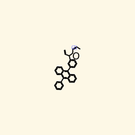 C=CC1c2cc(-c3c4ccccc4c(-c4ccccc4)c4ccccc34)ccc2OC1/C=C\C